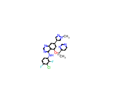 C[C@H](Oc1cc(-c2cnn(C)c2)cc2ncnc(Nc3ccc(F)c(Cl)c3F)c12)c1ccncn1